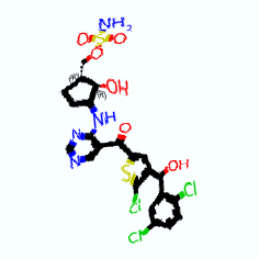 NS(=O)(=O)OC[C@H]1CCC(Nc2ncncc2C(=O)c2cc(C(O)c3cc(Cl)ccc3Cl)c(Cl)s2)[C@@H]1O